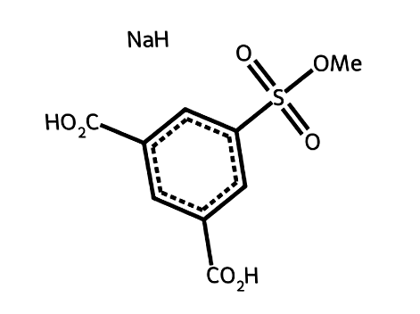 COS(=O)(=O)c1cc(C(=O)O)cc(C(=O)O)c1.[NaH]